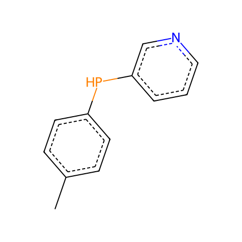 Cc1ccc(Pc2cccnc2)cc1